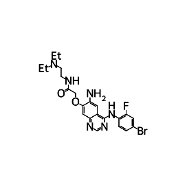 CCN(CC)CCNC(=O)COc1cc2ncnc(Nc3ccc(Br)cc3F)c2cc1N